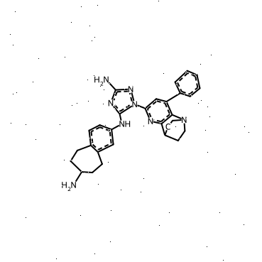 Nc1nc(Nc2ccc3c(c2)CCC(N)CC3)n(-c2cc(-c3ccccc3)c3c(n2)C2CCN3CC2)n1